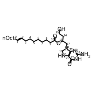 CCCCCCCCC=CCCCCCCCC(=O)OC(CCO)CN1CNc2c1nc(N)[nH]c2=O